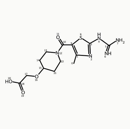 Cc1nc(NC(=N)N)sc1C(=O)N1CCC(OCC(=O)O)CC1